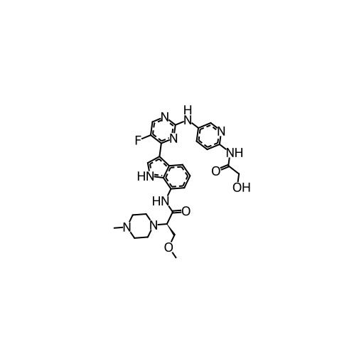 COC[C@H](C(=O)Nc1cccc2c(-c3nc(Nc4ccc(NC(=O)CO)nc4)ncc3F)c[nH]c12)N1CCN(C)CC1